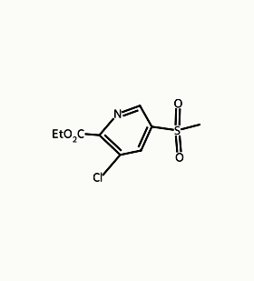 CCOC(=O)c1ncc(S(C)(=O)=O)cc1Cl